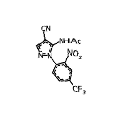 CC(=O)Nc1c(C#N)cnn1-c1ccc(C(F)(F)F)cc1[N+](=O)[O-]